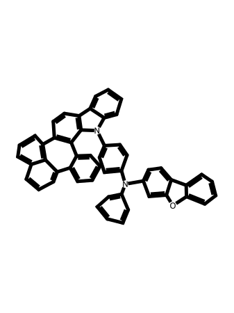 c1ccc(N(c2ccc(-n3c4ccccc4c4ccc5c(c43)-c3ccccc3-c3cccc4cccc-5c34)cc2)c2ccc3c(c2)oc2ccccc23)cc1